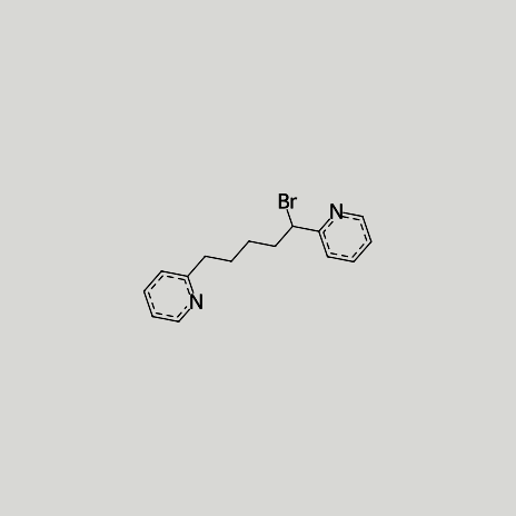 BrC(CCCCc1ccccn1)c1ccccn1